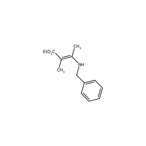 CCOC(=O)C(C)=C(C)NCc1ccccc1